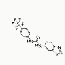 O=C(Nc1ccc(S(F)(F)(F)(F)F)cc1)Nc1ccc2nnsc2c1